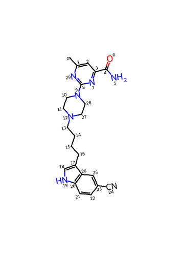 Cc1cc(C(N)=O)nc(N2CCN(CCCCc3c[nH]c4ccc(C#N)cc34)CC2)n1